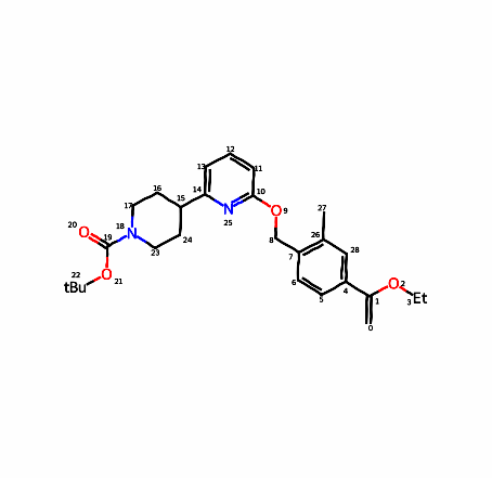 C=C(OCC)c1ccc(COc2cccc(C3CCN(C(=O)OC(C)(C)C)CC3)n2)c(C)c1